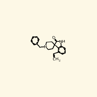 C=Cc1cccc2c1C1(CCN(Cc3ccccc3)CC1)C(=O)N2